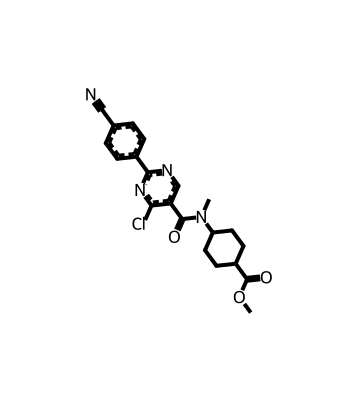 COC(=O)C1CCC(N(C)C(=O)c2cnc(-c3ccc(C#N)cc3)nc2Cl)CC1